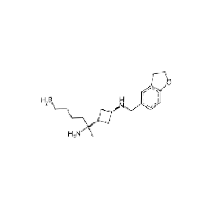 BCCCCC(C)(N)[C@H]1C[C@@H](NCc2ccc3c(c2)CCO3)C1